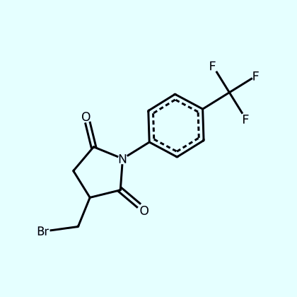 O=C1CC(CBr)C(=O)N1c1ccc(C(F)(F)F)cc1